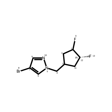 FC1CC(Cn2cc(Br)cn2)C[C@H]1F